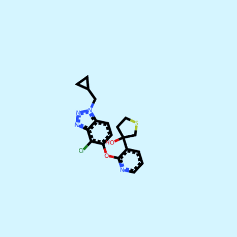 OC1(c2cccnc2Oc2ccc3c(nnn3CC3CC3)c2Cl)CCSC1